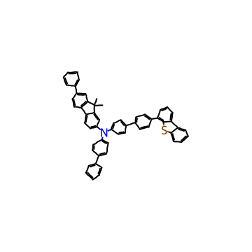 CC1(C)c2cc(-c3ccccc3)ccc2-c2ccc(N(c3ccc(-c4ccccc4)cc3)c3ccc(-c4ccc(-c5cccc6c5sc5ccccc56)cc4)cc3)cc21